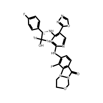 [2H]C([2H])(O)[C@@H](Nc1nc(Nc2ccc3c(=O)n4n(c3c2F)CCOC4)ncc1-c1nnco1)c1ccc(F)cc1